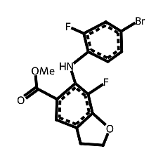 COC(=O)c1cc2c(c(F)c1Nc1ccc(Br)cc1F)OCC2